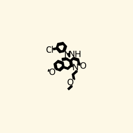 C=C1c2c(cc(=O)n(CCCOCC)c2Cc2cccc(OC)c2)NN1c1cccc(Cl)c1